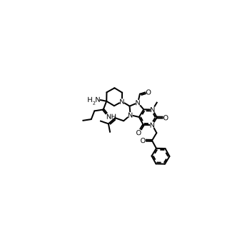 CCCC(=N)C1(N)CCCN(C2N(C=O)c3c(c(=O)n(CC(=O)c4ccccc4)c(=O)n3C)N2CC=C(C)C)C1